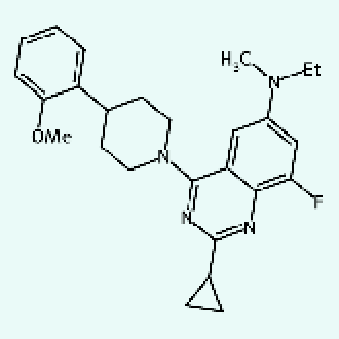 CCN(C)c1cc(F)c2nc(C3CC3)nc(N3CCC(c4ccccc4OC)CC3)c2c1